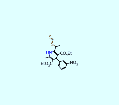 CCOC(=O)C1=C(C)NC(C(C)SC=S)=C(C(=O)OCC)C1c1cccc([N+](=O)[O-])c1